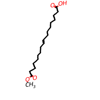 COC(=O)CCCCCCCC=CCCCCCCCC(=O)O